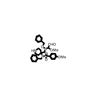 COc1ccc(S(=O)(=O)N(Cc2ccccc2)C2(C(=O)N(OCc3ccccc3)C(C=O)OC)CCNCC2)cc1